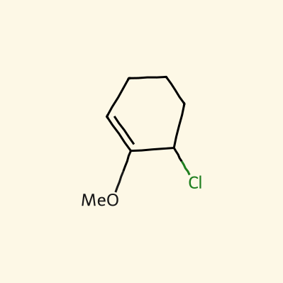 COC1=CCCCC1Cl